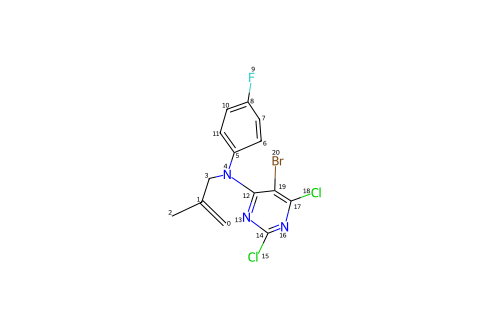 C=C(C)CN(c1ccc(F)cc1)c1nc(Cl)nc(Cl)c1Br